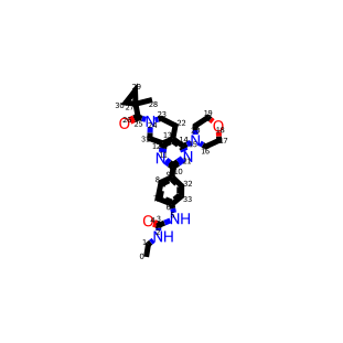 CCNC(=O)Nc1ccc(-c2nc3c(c(N4CCOCC4)n2)CCN(C(=O)C2(C)CC2)C3)cc1